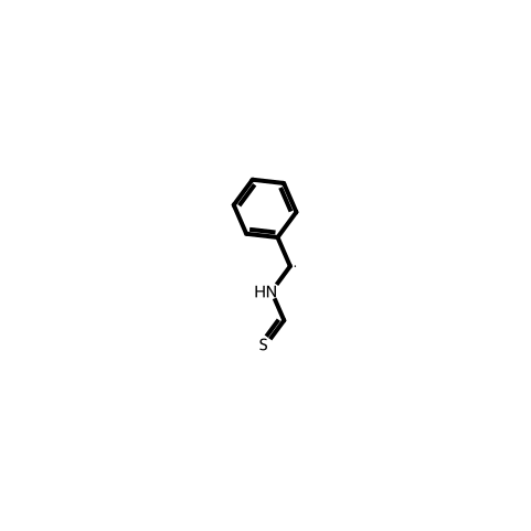 S=CN[CH]c1ccccc1